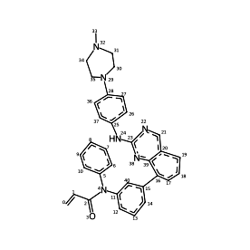 C=CC(=O)N(c1ccccc1)c1cccc(-c2cccc3cnc(Nc4ccc(N5CCN(C)CC5)cc4)nc23)c1